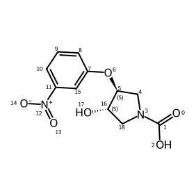 O=C(O)N1C[C@H](Oc2cccc([N+](=O)[O-])c2)[C@@H](O)C1